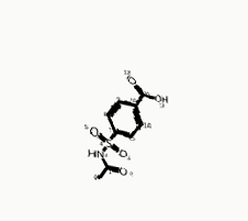 CC(=O)NS(=O)(=O)c1ccc(C(=O)O)cc1